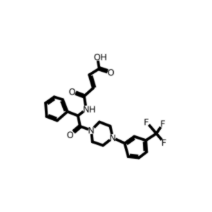 O=C(O)/C=C/C(=O)NC(C(=O)N1CCN(c2cccc(C(F)(F)F)c2)CC1)c1ccccc1